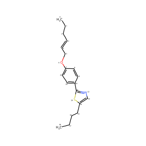 CCC/C=C/COc1ccc(-c2ncc(CCCC)s2)cc1